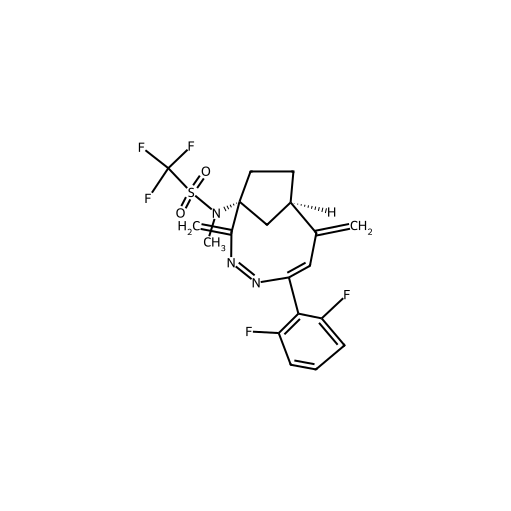 C=C1/C=C(c2c(F)cccc2F)\N=N/C(=C)[C@@]2(N(C)S(=O)(=O)C(F)(F)F)CC[C@@H]1C2